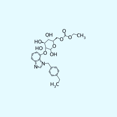 CCOC(=O)OC[C@H]1OC(O)[C@@](O)(Oc2cccc3ncn(Cc4ccc(CC)cc4)c23)[C@@H](O)[C@@H]1O